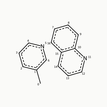 Cc1cccnc1.c1ccc2ncccc2c1